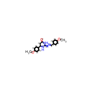 COc1ccc(C=NN=C2NC(=O)CC(c3ccc(OC)cc3)N2)cc1